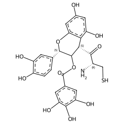 N[C@@H](CS)C(=O)[C@H]1c2c(O)cc(O)cc2O[C@@H](c2ccc(O)c(O)c2)C1OC(=O)c1cc(O)c(O)c(O)c1